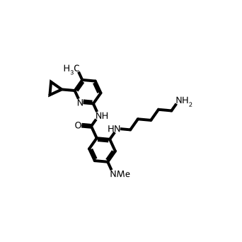 CNc1ccc(C(=O)Nc2ccc(C)c(C3CC3)n2)c(NCCCCCN)c1